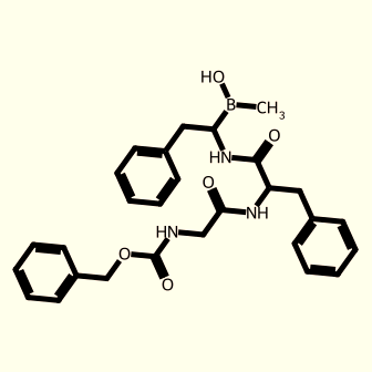 CB(O)C(Cc1ccccc1)NC(=O)C(Cc1ccccc1)NC(=O)CNC(=O)OCc1ccccc1